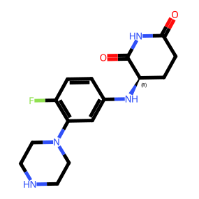 O=C1CC[C@@H](Nc2ccc(F)c(N3CCNCC3)c2)C(=O)N1